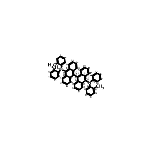 Cc1ccccc1N(c1ccccc1C)c1c2ccccc2c(-c2c3ccccc3c(N(c3ccccc3C)c3ccccc3C)c3ccccc23)c2ccccc12